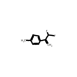 C=C(c1ccc(C)cc1)C(F)F